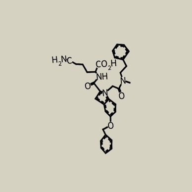 CN(CCc1ccccc1)C(=O)Cn1c(C(=O)NC(CCCCN)C(=O)O)cc2cc(OCc3ccccc3)ccc21